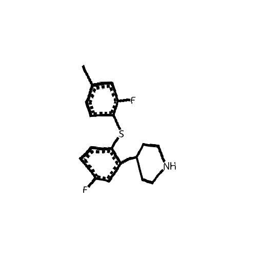 Cc1ccc(Sc2ccc(F)cc2C2CCNCC2)c(F)c1